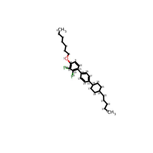 CCCCCCCOc1ccc(-c2ccc(C3CCC(CCCCC)CC3)cc2)c(F)c1F